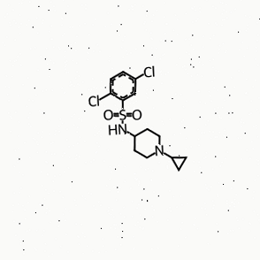 O=S(=O)(NC1CCN(C2CC2)CC1)c1cc(Cl)ccc1Cl